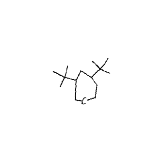 CC(C)(C)C1CCCCC(C(C)(C)C)C1